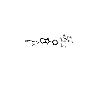 CN(C(=O)OC(C)(C)C)c1ccc(-c2nc3ccc(OC[C@H](O)CO)cc3s2)cc1